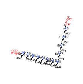 CC[N+](C)(CC)CCOC.CC[N+](C)(CC)CCOC.CC[N+](C)(CC)CCOC.CC[N+](C)(CC)CCOC.CC[N+](C)(CC)CCOC.CC[N+](C)(CC)CCOC.CC[N+](C)(CC)CCOC.CC[N+](C)(CC)CCOC.CC[N+](C)(CC)CCOC.CC[N+](C)(CC)CCOC.CC[N+](C)(CC)CCOC.CC[N+](C)(CC)CCOC.[O-]B([O-])[O-].[O-]B([O-])[O-].[O-]B([O-])[O-].[O-]B([O-])[O-]